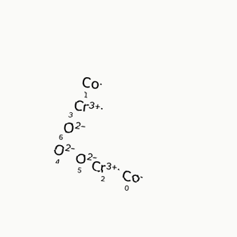 [Co].[Co].[Cr+3].[Cr+3].[O-2].[O-2].[O-2]